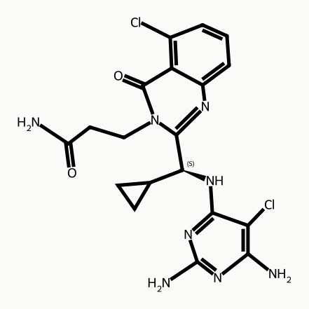 NC(=O)CCn1c([C@@H](Nc2nc(N)nc(N)c2Cl)C2CC2)nc2cccc(Cl)c2c1=O